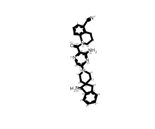 N#Cc1cccc2c1CCCN2C(=O)c1ncc(N2CCC3(CC2)Cc2ccccc2[C@H]3N)nc1N